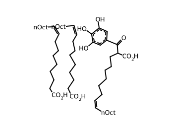 CCCCCCCC/C=C\CCCCCCC(C(=O)O)C(=O)c1cc(O)c(O)c(O)c1.CCCCCCCC/C=C\CCCCCCCC(=O)O.CCCCCCCC/C=C\CCCCCCCC(=O)O